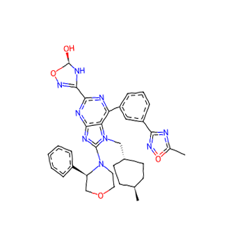 Cc1nc(-c2cccc(-c3nc(C4=NO[C@@H](O)N4)nc4nc(N5CCOC[C@H]5c5ccccc5)n(C[C@H]5CC[C@H](C)CC5)c34)c2)no1